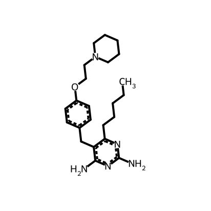 CCCCCc1nc(N)nc(N)c1Cc1ccc(OCCN2CCCCC2)cc1